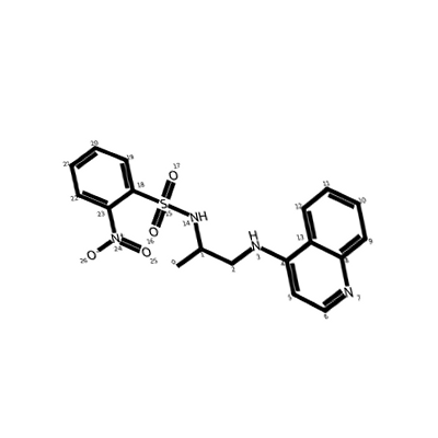 CC(CNc1ccnc2ccccc12)NS(=O)(=O)c1ccccc1[N+](=O)[O-]